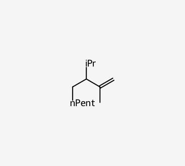 C=C(C)C(CCCCCC)C(C)C